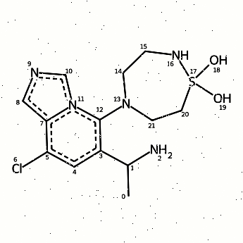 CC(N)c1cc(Cl)c2cncn2c1N1CCNS(O)(O)CC1